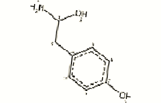 NC(O)Cc1ccc(O)cc1